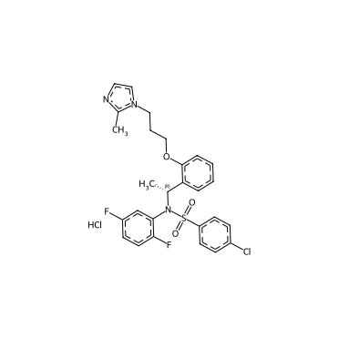 Cc1nccn1CCCOc1ccccc1[C@@H](C)N(c1cc(F)ccc1F)S(=O)(=O)c1ccc(Cl)cc1.Cl